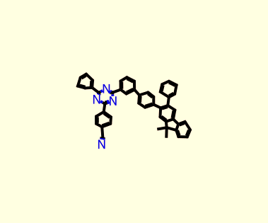 CC1(C)c2ccccc2-c2cc(-c3ccccc3)c(-c3ccc(-c4cccc(-c5nc(-c6ccccc6)nc(-c6ccc(C#N)cc6)n5)c4)cc3)cc21